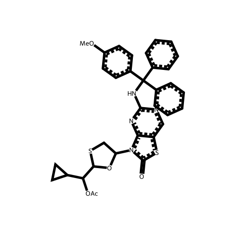 COc1ccc(C(Nc2ncc3sc(=O)n(C4CSC(C(OC(C)=O)C5CC5)O4)c3n2)(c2ccccc2)c2ccccc2)cc1